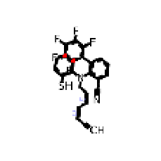 C#C/C=C\C=C/CN(c1ccccc1S)c1c(C#N)cccc1-c1c(F)c(F)c(F)c(F)c1F